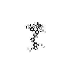 CC(=O)[C@@H](OC(C)(C)C)c1c(C)cc2nc(-c3ccnc(-c4cc5c(C)cnc-5n(C)c4)c3)sc2c1-c1ccc(Cl)cc1